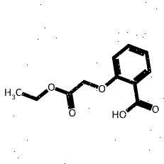 CCOC(=O)COc1ccccc1C(=O)O